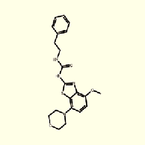 COc1ccc(N2CCOCC2)c2sc(NC(=O)NCCc3ccccc3)nc12